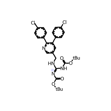 CC(C)(C)OC(=O)/N=C(/NCc1cnc(-c2ccc(Cl)cc2)c(-c2ccc(Cl)cc2)c1)NC(=O)OC(C)(C)C